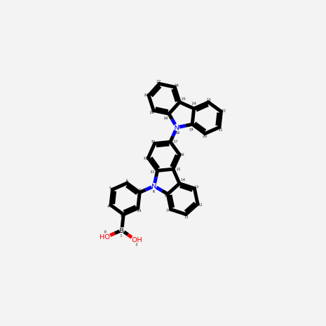 OB(O)c1cccc(-n2c3ccccc3c3cc(-n4c5ccccc5c5ccccc54)ccc32)c1